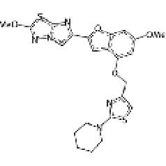 COc1cc(OCc2csc(N3CCCCC3)n2)c2cc(-c3cn4nc(OC)sc4n3)oc2c1